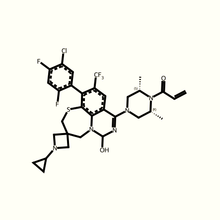 C=CC(=O)N1[C@H](C)CN(C2=NC(O)N3CC4(CSc5c(-c6cc(Cl)c(F)cc6F)c(C(F)(F)F)cc2c53)CN(C2CC2)C4)C[C@@H]1C